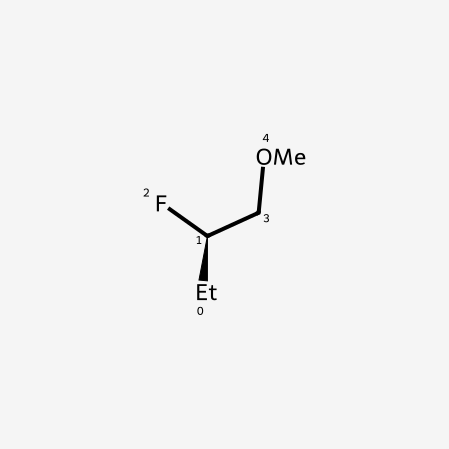 CC[C@@H](F)COC